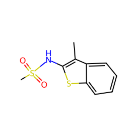 Cc1c(NS(C)(=O)=O)sc2ccccc12